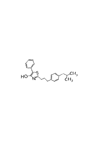 CC(C)Cc1ccc(CCCc2nc(O)c(-c3ccccc3)s2)cc1